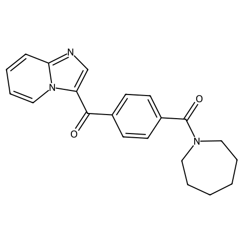 O=C(c1ccc(C(=O)N2CCCCCC2)cc1)c1cnc2ccccn12